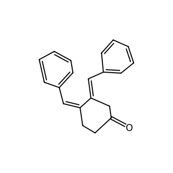 O=C1CCC(=Cc2ccccc2)C(=Cc2ccccc2)C1